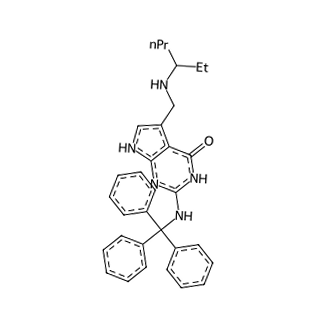 CCCC(CC)NCc1c[nH]c2nc(NC(c3ccccc3)(c3ccccc3)c3ccccc3)[nH]c(=O)c12